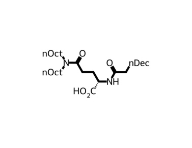 CCCCCCCCCCCC(=O)N[C@@H](CCC(=O)N(CCCCCCCC)CCCCCCCC)C(=O)O